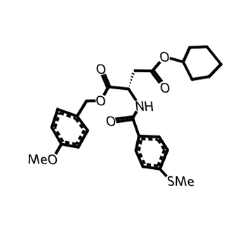 COc1ccc(COC(=O)[C@H](CC(=O)OC2CCCCC2)NC(=O)c2ccc(SC)cc2)cc1